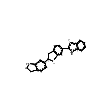 c1ccc2[nH]c(-c3ccc4c(c3)OC(c3ccc5c(c3)NCC5)C4)nc2c1